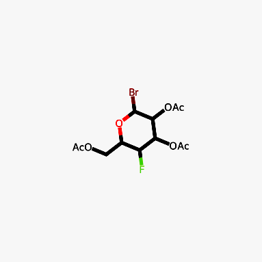 CC(=O)OCC1OC(Br)C(OC(C)=O)C(OC(C)=O)C1F